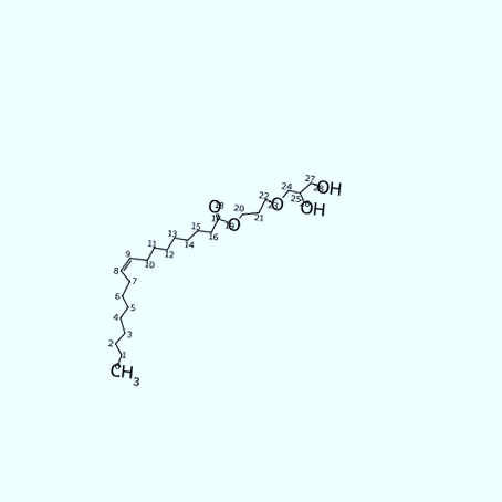 CCCCCCCC/C=C\CCCCCCCC(=O)OCCCOCC(O)CO